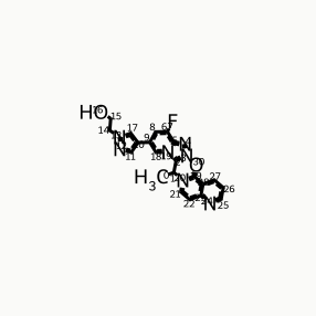 CC(c1nnc2c(F)cc(-c3cnn(CCO)c3)cn12)n1ccc2ncccc2c1=O